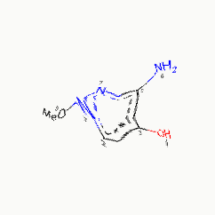 COn1cc(O)c(N)n1